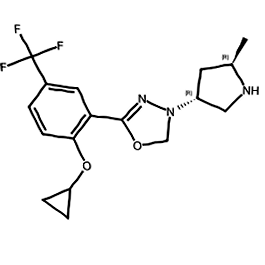 C[C@@H]1C[C@@H](N2COC(c3cc(C(F)(F)F)ccc3OC3CC3)=N2)CN1